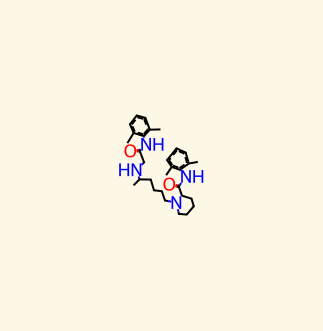 Cc1cccc(C)c1NC(=O)CNC(C)CCCCN1CCCCC1C(=O)Nc1c(C)cccc1C